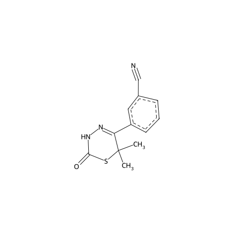 CC1(C)SC(=O)NN=C1c1cccc(C#N)c1